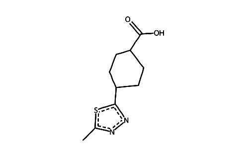 Cc1nnc(C2CCC(C(=O)O)CC2)s1